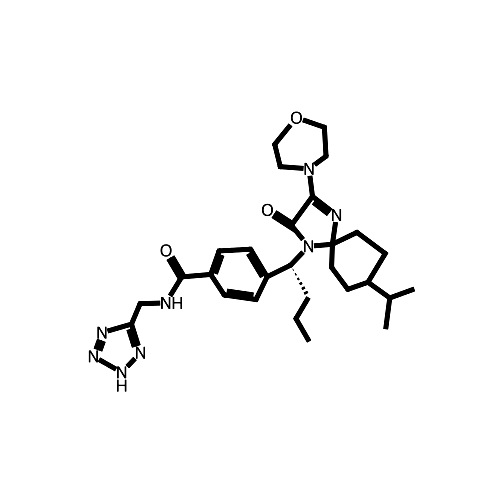 CCC[C@H](c1ccc(C(=O)NCc2nn[nH]n2)cc1)N1C(=O)C(N2CCOCC2)=NC12CCC(C(C)C)CC2